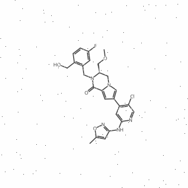 COC[C@H]1Cn2cc(-c3cc(Nc4cc(C)on4)ncc3Cl)cc2C(=O)N1Cc1cc(F)ccc1CO